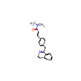 CN(C)C(=O)C=Cc1ccc(Cc2nccc3ccccc23)cc1